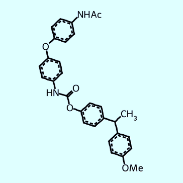 COc1ccc(C(C)c2ccc(OC(=O)Nc3ccc(Oc4ccc(NC(C)=O)cc4)cc3)cc2)cc1